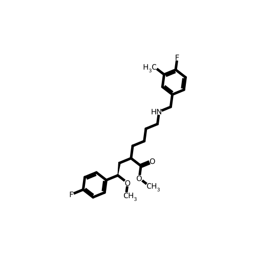 COC(=O)C(CCCCNCc1ccc(F)c(C)c1)C[C@@H](OC)c1ccc(F)cc1